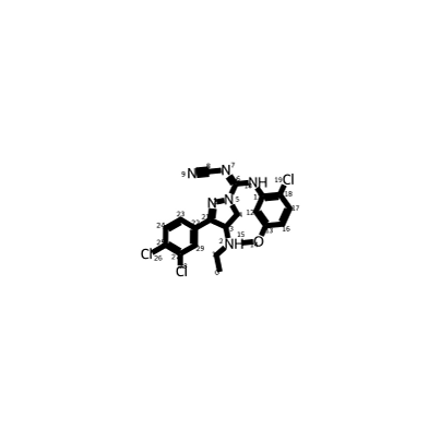 CCNC1CN(/C(=N\C#N)Nc2cc(OC)ccc2Cl)N=C1c1ccc(Cl)c(Cl)c1